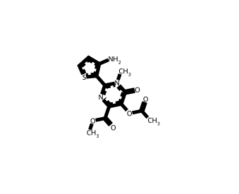 COC(=O)c1nc(-c2sccc2N)n(C)c(=O)c1OC(C)=O